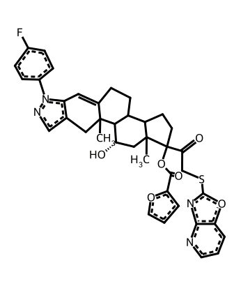 CC12Cc3cnn(-c4ccc(F)cc4)c3C=C1CCC1C2[C@@H](O)CC2(C)C1CCC2(OC(=O)c1ccco1)C(=O)CSc1nc2ncccc2o1